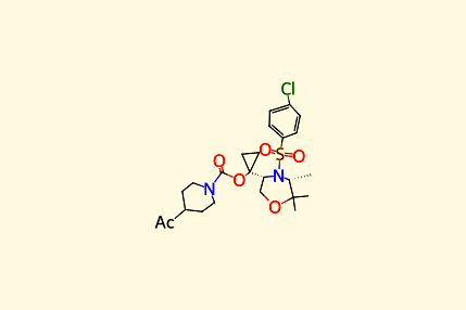 CC(=O)C1CCN(C(=O)OC2([C@H]3COC(C)(C)[C@@H](C)N3S(=O)(=O)c3ccc(Cl)cc3)CC2)CC1